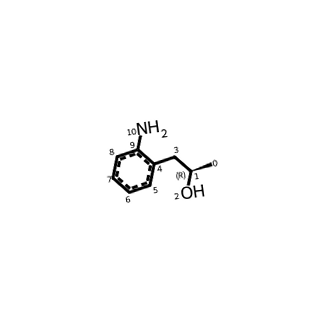 C[C@@H](O)Cc1ccccc1N